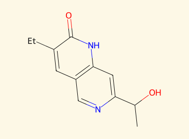 CCc1cc2cnc(C(C)O)cc2[nH]c1=O